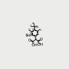 Cc1cc(C(C(=O)O)C(=O)O)cc(C)c1C(C)(C)C.[NaH]